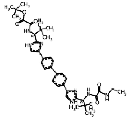 CCNC(=O)C(=O)N[C@H](c1nc(-c2ccc(-c3ccc(-c4c[nH]c([C@@H](NC(=O)C(=O)OC(C)(C)C)C(C)(C)C)n4)cc3)cc2)c[nH]1)C(C)(C)C